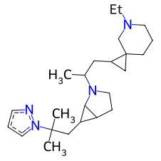 CCN1CCCC2(CC2CC(C)N2CCC3C(CC(C)(C)n4cccn4)C32)C1